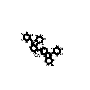 N#Cc1ccc2c(c1-c1ccc3c(c1)c1ccccc1n3-c1ccccc1)c1ccccc1n2-c1ccccc1